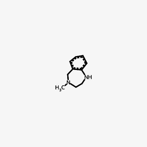 CN1CCNc2ccccc2C1